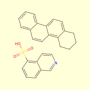 O=S(=O)(O)c1cccc2cnccc12.c1ccc2c(c1)ccc1c3c(ccc12)CCCC3